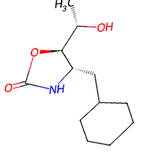 C[C@H](O)[C@@H]1OC(=O)N[C@H]1CC1CCCCC1